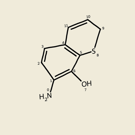 Nc1ccc2c(c1O)SCC=C2